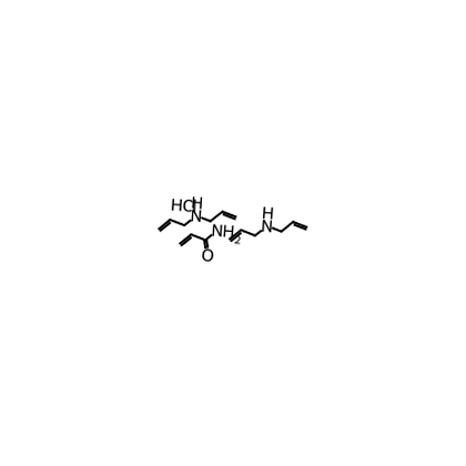 C=CC(N)=O.C=CCNCC=C.C=CCNCC=C.Cl